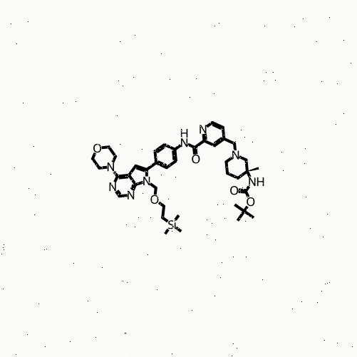 CC(C)(C)OC(=O)N[C@]1(C)CCCN(Cc2ccnc(C(=O)Nc3ccc(-c4cc5c(N6CCOCC6)ncnc5n4COCC[Si](C)(C)C)cc3)c2)C1